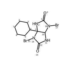 O=C1NC2(C3CCCCC3)C(NC(=O)N2Br)N1Br